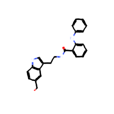 [O]Cc1ccc2[nH]cc(CCNC(=O)c3ccccc3Nc3ccccc3)c2c1